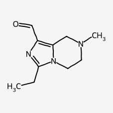 CCc1nc(C=O)c2n1CCN(C)C2